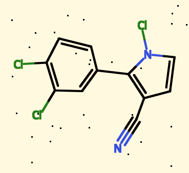 N#Cc1ccn(Cl)c1-c1ccc(Cl)c(Cl)c1